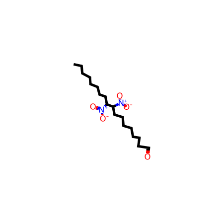 CCCCCCCCC(C(CCCCCCCC=O)[N+](=O)[O-])[N+](=O)[O-]